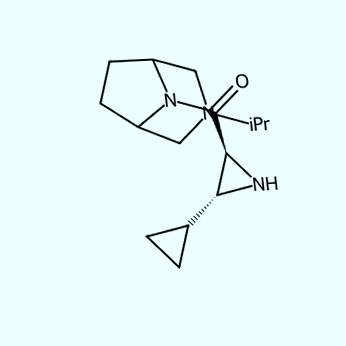 CC(C)N1CC2CCC(C1)N2C(=O)[C@H]1N[C@@H]1C1CC1